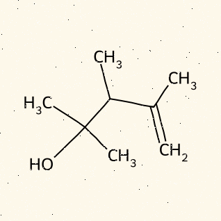 C=C(C)C(C)C(C)(C)O